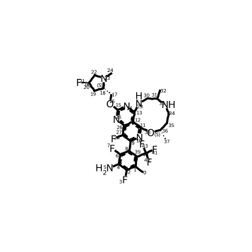 Cc1c(F)c(N)c(F)c(-c2nc3c4c(nc(OC[C@@H]5C[C@@H](F)CN5C)nc4c2F)NCC(C)NCC[C@H](C)O3)c1C(F)(F)F